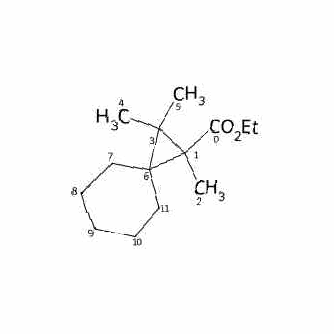 CCOC(=O)C1(C)C(C)(C)C12CCCCC2